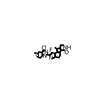 CC1C2=C(C(=O)NCC2)C2=C1c1c(cnc(-c3nc(Cl)c4c(n3)CCN(C)C4)c1F)CC2